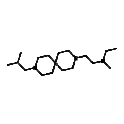 CCN(C)CCN1CCC2(CC1)CCN(CC(C)C)CC2